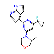 CC1COCCN1c1cc(C2(F)CC2)nc(-c2ccnc3[nH]ccc23)n1